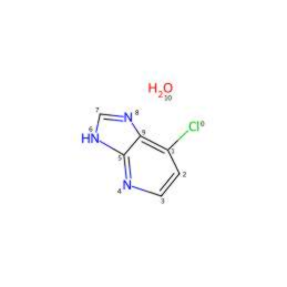 Clc1ccnc2[nH]cnc12.O